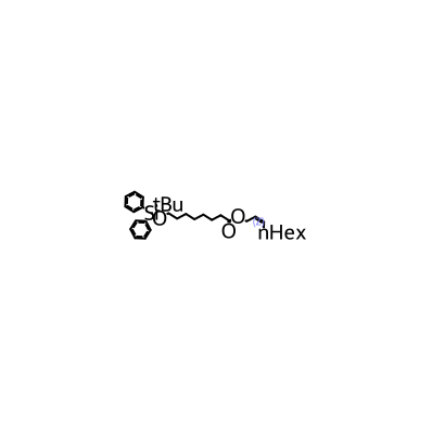 CCCCCC/C=C\COC(=O)CCCCCCCO[Si](c1ccccc1)(c1ccccc1)C(C)(C)C